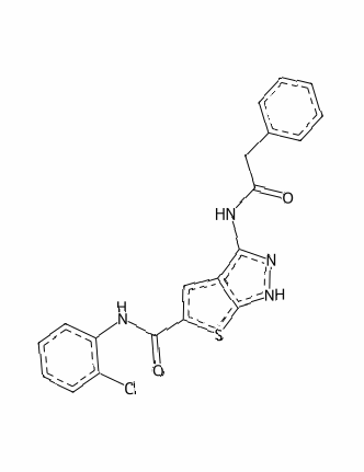 O=C(Cc1ccccc1)Nc1n[nH]c2sc(C(=O)Nc3ccccc3Cl)cc12